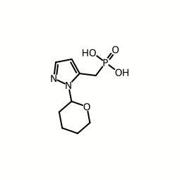 O=P(O)(O)Cc1ccnn1C1CCCCO1